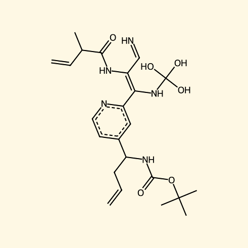 C=CCC(NC(=O)OC(C)(C)C)c1ccnc(/C(NC(O)(O)O)=C(/C=N)NC(=O)C(C)C=C)c1